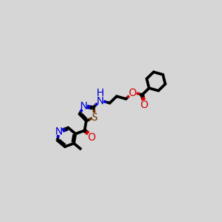 Cc1ccncc1C(=O)c1cnc(NCCCOC(=O)C2CCCCC2)s1